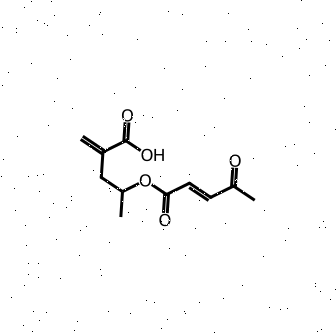 C=C(CC(C)OC(=O)C=CC(C)=O)C(=O)O